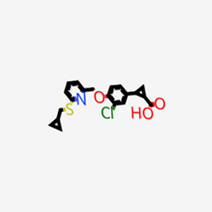 O=C(O)C1CC1c1ccc(OCc2cccc(SCC3CC3)n2)c(Cl)c1